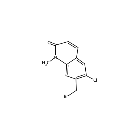 Cn1c(=O)ccc2cc(Cl)c(CBr)cc21